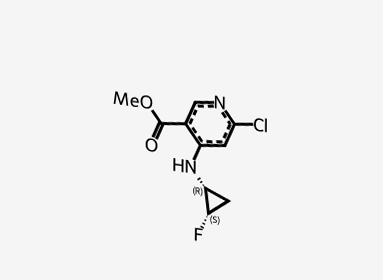 COC(=O)c1cnc(Cl)cc1N[C@@H]1C[C@@H]1F